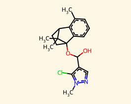 Cc1cccc2c1C1CCC2(OC(O)c2cnn(C)c2Cl)C1(C)C